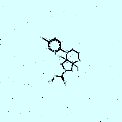 CC(C)(C)OC(=O)N1C[C@H]2OCCN(c3ccc(I)nn3)[C@H]2C1